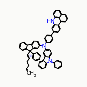 C=CCC/C=C/C1(c2ccccc2)c2ccccc2-c2ccc(N(c3ccc(-c4ccc5c(c4)Nc4cccc6cccc-5c46)cc3)c3ccc4c(c3)c3ccccc3n4-c3ccccc3)cc21